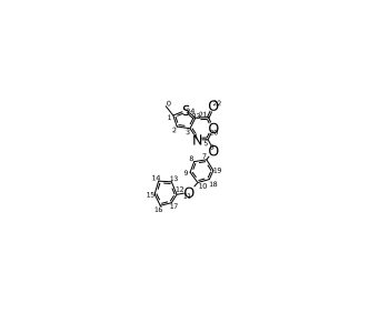 Cc1cc2nc(Oc3ccc(Oc4ccccc4)cc3)oc(=O)c2s1